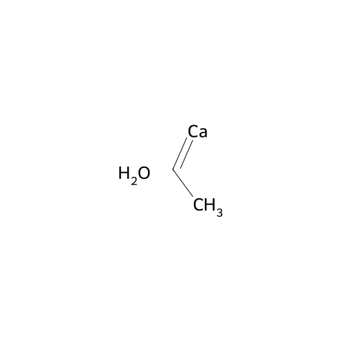 C[CH]=[Ca].O